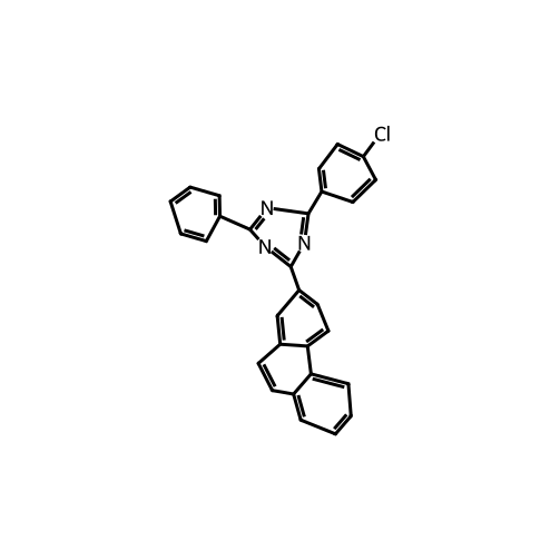 Clc1ccc(-c2nc(-c3ccccc3)nc(-c3ccc4c(ccc5ccccc54)c3)n2)cc1